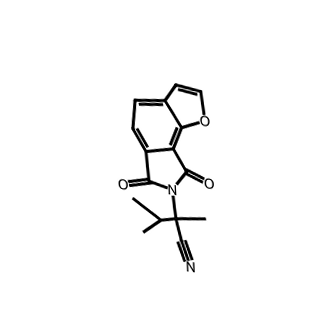 CC(C)C(C)(C#N)N1C(=O)c2ccc3ccoc3c2C1=O